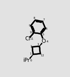 CC(C)[C@H]1C[C@@H](Oc2ccccc2Cl)C1